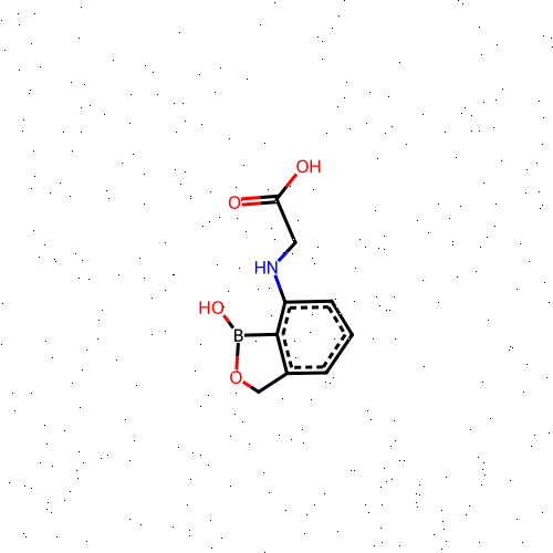 O=C(O)CNc1cccc2c1B(O)OC2